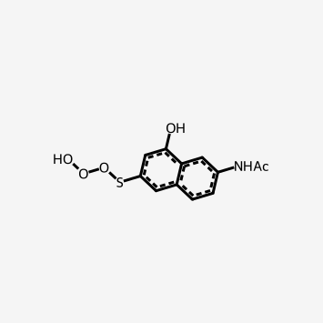 CC(=O)Nc1ccc2cc(SOOO)cc(O)c2c1